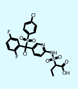 CCC(C(=O)O)S(=O)(=O)Nc1ccc(C(Cl)(c2cc(F)ccc2F)S(=O)(=O)c2ccc(Cl)cc2)cn1